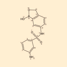 Nc1cccc(S(=O)(=O)Nc2ccc3c(c2)B(O)OC3)c1